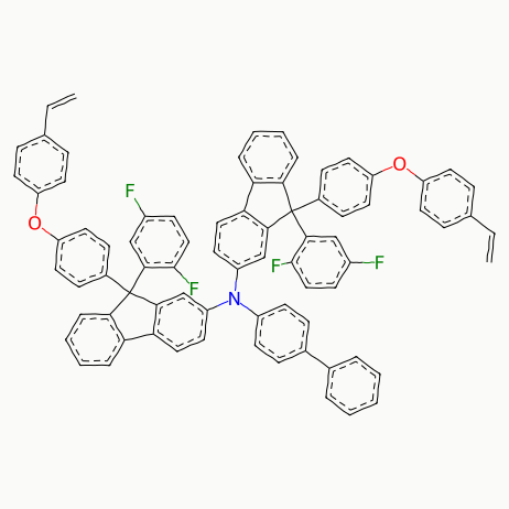 C=Cc1ccc(Oc2ccc(C3(c4cc(F)ccc4F)c4ccccc4-c4ccc(N(c5ccc(-c6ccccc6)cc5)c5ccc6c(c5)C(c5ccc(Oc7ccc(C=C)cc7)cc5)(c5cc(F)ccc5F)c5ccccc5-6)cc43)cc2)cc1